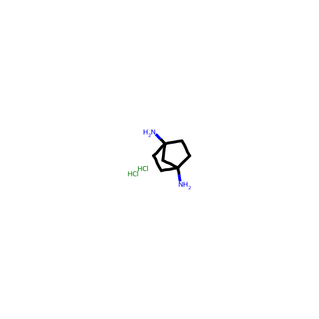 Cl.Cl.NC12CCC(N)(CC1)C2